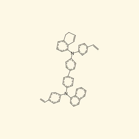 C=Cc1ccc(N(c2ccc(-c3ccc(N(c4ccc(C=C)cc4)c4cccc5ccccc45)cc3)cc2)c2cccc3c2C=CCC3)cc1